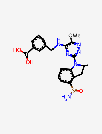 COc1nnc(N2c3cccc([S+](N)[O-])c3CC2C)nc1NCc1cccc(B(O)O)c1